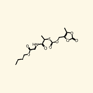 CCCCOC(=O)CNC(=O)C(C)SC(=O)OCc1oc(=O)oc1C